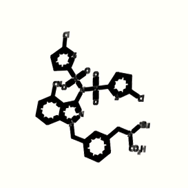 CC(C)(C)N(Cc1cccc(Cn2nc(N(S(=O)(=O)c3ccc(Cl)s3)S(=O)(=O)c3ccc(Cl)s3)c3c(C#N)cccc32)c1)C(=O)O